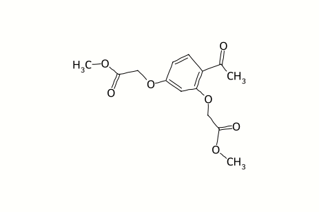 COC(=O)COc1ccc(C(C)=O)c(OCC(=O)OC)c1